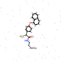 CC(=O)NCCNC(=O)C(C)c1ccc(Oc2cccc3ccccc23)cc1